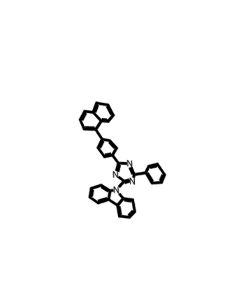 c1ccc(-c2nc(-c3ccc(-c4cccc5ccccc45)cc3)nc(-n3c4ccccc4c4ccccc43)n2)cc1